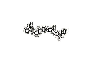 Cn1c(=O)c2cnc(Nc3ccc(N4CCN(C(=O)c5cc(Cc6n[nH]c(=O)c7ccccc67)ccc5F)CC4)cc3)nc2n1-c1ccccn1